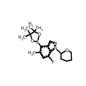 Cc1cc(F)c2c(cnn2C2CCCCO2)c1B1OC(C)(C)C(C)(C)O1